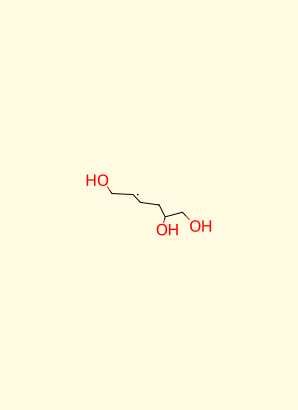 OC[CH]CCC(O)CO